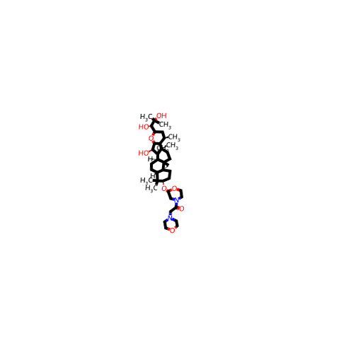 C[C@@H]1CC([C@H](O)C(C)(C)O)OC2C1[C@@]1(C)CCC34C[C@@]35CC[C@H](OC3CN(C(=O)CN6CCOCC6)CCO3)C(C)(C)[C@@H]5CC[C@H]4[C@]1(C)[C@H]2O